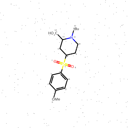 COc1ccc(S(=O)(=O)C2CCN(C(C)(C)C)C(C(=O)O)C2)cc1